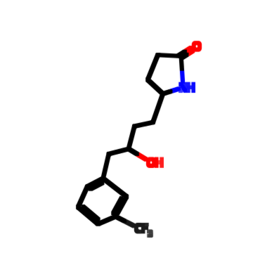 O=C1CCC(CCC(O)Cc2cccc(C(F)(F)F)c2)N1